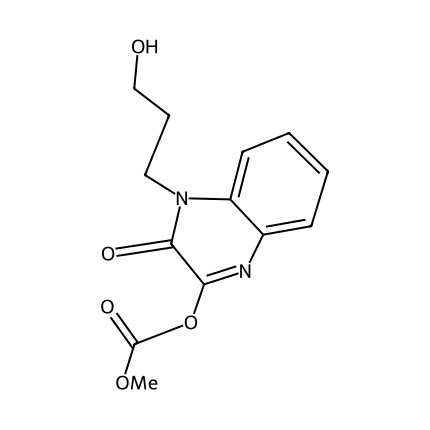 COC(=O)Oc1nc2ccccc2n(CCCO)c1=O